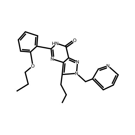 CCCOc1ccccc1-c1nc2c(CCC)n(Cc3cccnc3)nc2c(=O)[nH]1